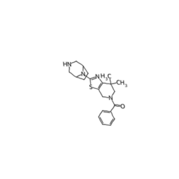 CC1(C)CN(C(=O)c2ccccc2)Cc2sc(N3C4CCC3CNC4)nc21